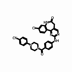 [C-]#[N+]c1ccc(N2CCN(C(=O)c3ccc(Nc4ncc5c(n4)-c4ccc(Cl)cc4NC(=O)C5)cc3)CC2)cc1